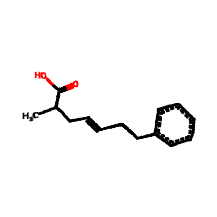 CC(CC=CCCc1ccccc1)C(=O)O